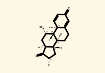 C[C@H]1C[C@H]2[C@@H]3CCC4=CC(=O)C=C[C@]4(C)[C@@]3(F)[C@@H](O)C[C@]2(C)C1=O